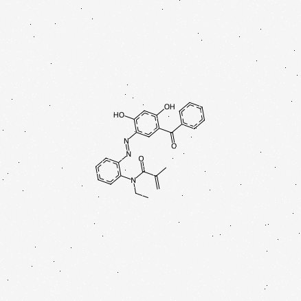 C=C(C)C(=O)N(CC)c1ccccc1N=Nc1cc(C(=O)c2ccccc2)c(O)cc1O